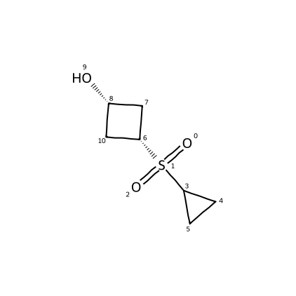 O=S(=O)(C1CC1)[C@H]1C[C@@H](O)C1